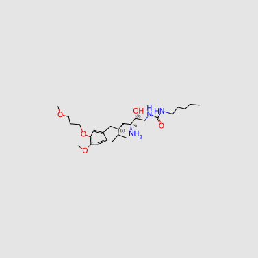 CCCCCNC(=O)NC[C@@H](O)[C@@H](N)C[C@H](Cc1ccc(OC)c(OCCCOC)c1)C(C)C